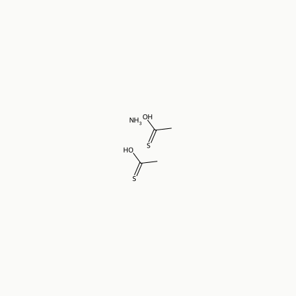 CC(O)=S.CC(O)=S.N